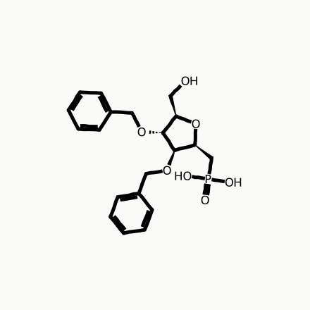 O=P(O)(O)C[C@@H]1O[C@H](CO)[C@@H](OCc2ccccc2)[C@@H]1OCc1ccccc1